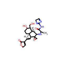 CC(NC1CC2[C@](C)(CC[C@@H](O)[C@@]2(C)CO)C(/C=C/C2=CCOC2=O)C12CO2)C(=O)NC1=NCC=N1